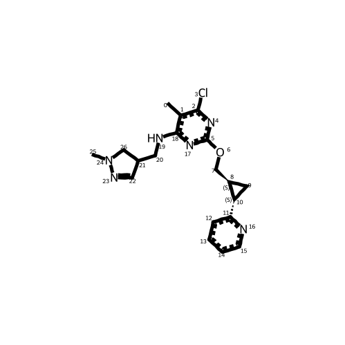 Cc1c(Cl)nc(OC[C@H]2C[C@@H]2c2ccccn2)nc1NCC1C=NN(C)C1